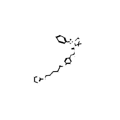 CC1(C)SCN(S(=O)(=O)c2ccccc2)[C@@H]1C(=O)N[C@@H](Cc1ccc(NC(=O)CCCCNC2=NCCN2)cc1)C(=O)O